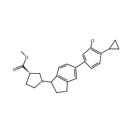 COC(=O)[C@@H]1CCN(C2CCc3cc(-c4ccc(C5CC5)c(Cl)c4)ccc32)C1